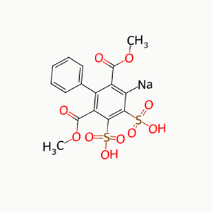 COC(=O)c1[c]([Na])c(S(=O)(=O)O)c(S(=O)(=O)O)c(C(=O)OC)c1-c1ccccc1